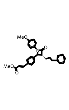 COC(=O)C=Cc1ccc(C2[C@@H](CCCc3ccccc3)C(=O)N2c2ccc(OC)cc2)cc1